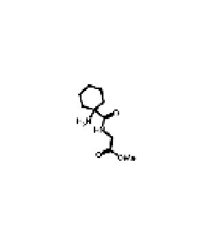 COC(=O)CNC(=O)C1(N)CCCCC1